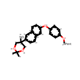 CCCCCOc1ccc(Oc2ccc3cc(C4([N+](=O)[O-])COC(C)(C)OC4)ccc3c2)cc1